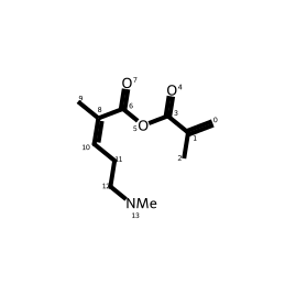 C=C(C)C(=O)OC(=O)C(C)=CCCNC